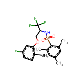 Bc1ccc(F)cc1OCC(NS(=O)(=O)c1c(C)cc(C)cc1C)C(F)(F)F